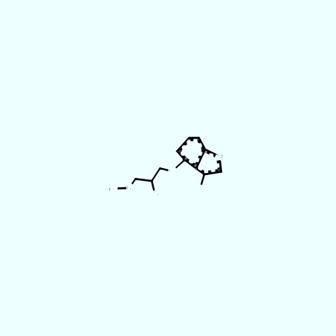 CC(C)NCC(O)COc1cccc2[nH]cc(I)c12